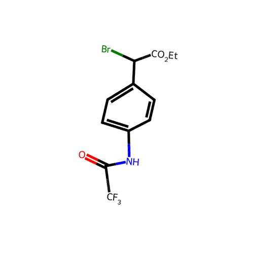 CCOC(=O)C(Br)c1ccc(NC(=O)C(F)(F)F)cc1